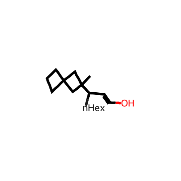 CCCCCCC(/C=C/O)C1(C)CC2(CCC2)C1